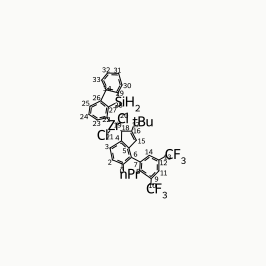 CCCc1ccc2c(c1-c1cc(C(F)(F)F)cc(C(F)(F)F)c1)C=C(C(C)(C)C)[CH]2[Zr]([Cl])([Cl])[c]1cccc2c1[SiH2]c1ccccc1-2